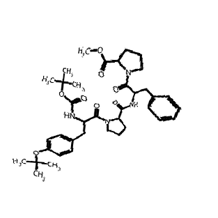 COC(=O)C1CCCN1C(=O)C(Cc1ccccc1)NC(=O)C1CCCN1C(=O)C(Cc1ccc(OC(C)(C)C)cc1)NC(=O)OC(C)(C)C